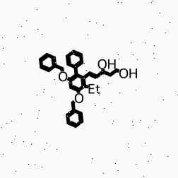 CCc1c(OCc2ccccc2)cc(OCc2ccccc2)c(-c2ccccc2)c1C=CC(O)CCO